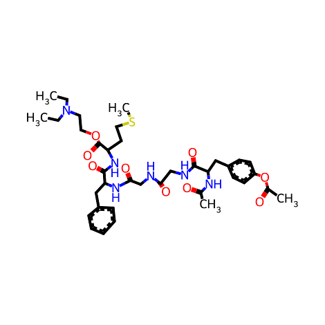 CCN(CC)CCOC(=O)C(CCSC)NC(=O)C(Cc1ccccc1)NC(=O)CNC(=O)CNC(=O)C(Cc1ccc(OC(C)=O)cc1)NC(C)=O